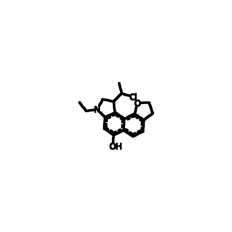 CCN1CC(C(C)Cl)c2c1cc(O)c1ccc3c(c21)OCC3